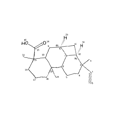 C=CC1(C)CCC2C3[C@@H](CC4C(C)(C(=O)O)CCCC24C)C[C@H]31